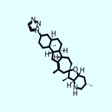 CC1=C2C[C@H]3[C@@H](CC[C@@H]4CC(n5ccnn5)CC[C@@]43C)[C@@H]2CC[C@@]2(C1)O[C@@H]1C[C@H](C)CN[C@H]1[C@H]2C